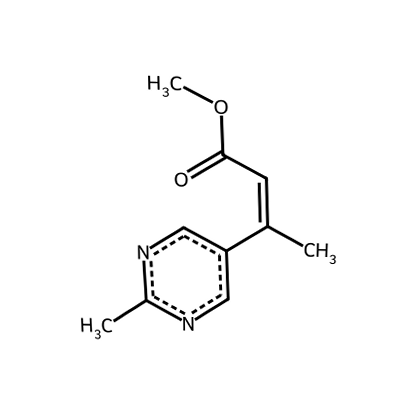 COC(=O)/C=C(/C)c1cnc(C)nc1